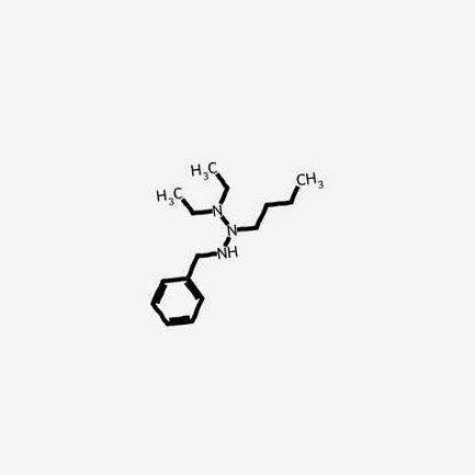 CCCCN(NCc1ccccc1)N(CC)CC